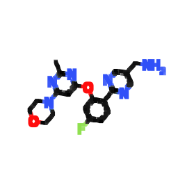 Cc1nc(Oc2cc(F)ccc2-c2ncc(CN)cn2)cc(N2CCOCC2)n1